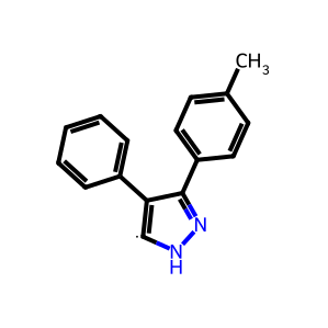 Cc1ccc(-c2n[nH][c]c2-c2ccccc2)cc1